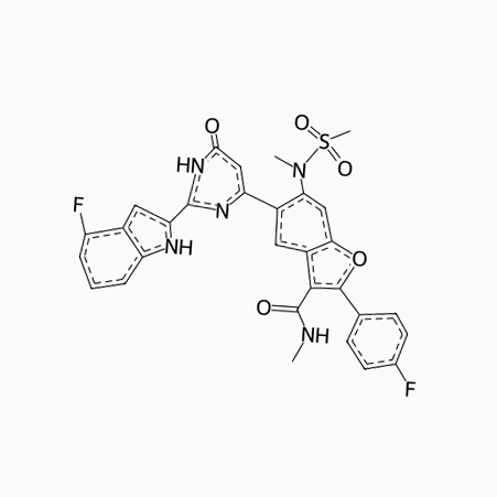 CNC(=O)c1c(-c2ccc(F)cc2)oc2cc(N(C)S(C)(=O)=O)c(-c3cc(=O)[nH]c(-c4cc5c(F)cccc5[nH]4)n3)cc12